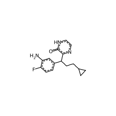 Nc1cc(C(CCC2CC2)c2ncc[nH]c2=O)ccc1F